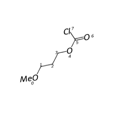 COCCCOC(=O)Cl